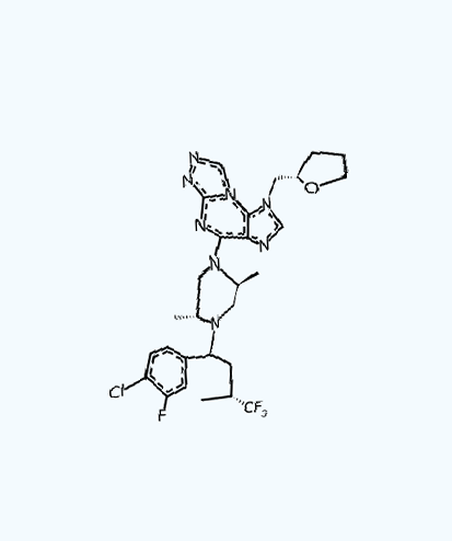 C[C@@H]1CN(c2nc3nncn3c3c2ncn3C[C@@H]2CCCO2)[C@@H](C)CN1C(C[C@@H](C)C(F)(F)F)c1ccc(Cl)c(F)c1